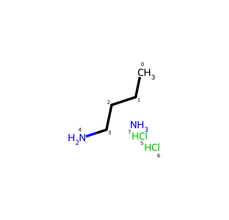 CCCCN.Cl.Cl.N